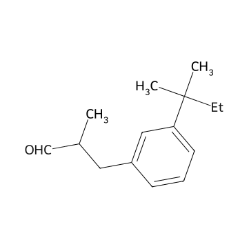 CCC(C)(C)c1cccc(CC(C)C=O)c1